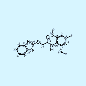 CSc1cc(C)nc(SC)c1NC(=O)CSc1nc2ccccc2s1